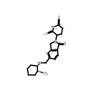 C[C@H]1CCCC[C@H]1NCc1ccc2c(c1)CN(C1CCC(=O)NC1=O)C2=O